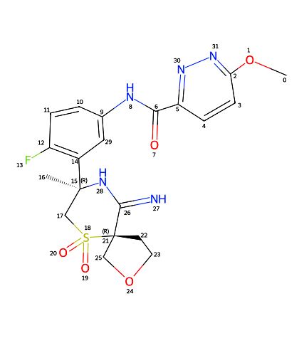 COc1ccc(C(=O)Nc2ccc(F)c([C@]3(C)CS(=O)(=O)[C@]4(CCOC4)C(=N)N3)c2)nn1